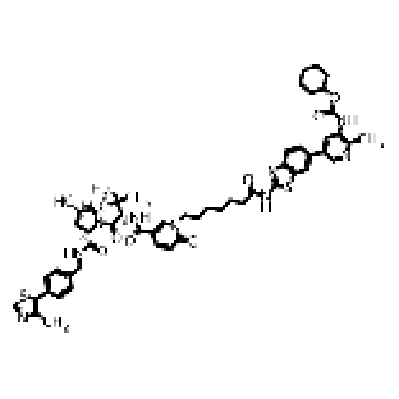 Cc1ncc(-c2ccc3nc(NC(=O)CCCCCCn4cc(C(=O)N[C@H](C(=O)N5C[C@H](O)C[C@H]5C(=O)NCc5ccc(-c6scnc6C)cc5)C(C)(C)C)ccc4=O)sc3c2)cc1NC(=O)OC1CCCCC1